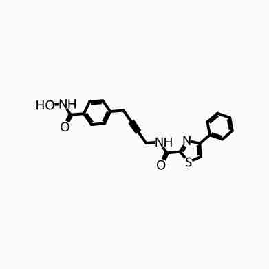 O=C(NO)c1ccc(CC#CCNC(=O)c2nc(-c3ccccc3)cs2)cc1